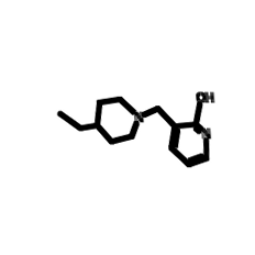 CCC1CCN(Cc2cccnc2O)CC1